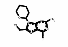 Cc1nc(I)c2nc(CO)n(C3CCCCO3)c2n1